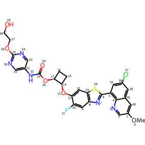 COc1cnc2c(-c3nc4cc(F)c(O[C@@H]5CC[C@@H]5OC(=O)Nc5cnc(OCCO)nc5)cc4s3)cc(Cl)cc2c1